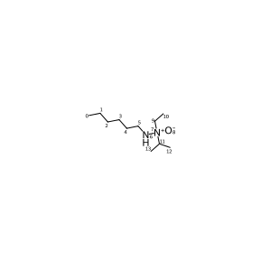 CCCCCCN[N+]([O-])(CC)C(C)C